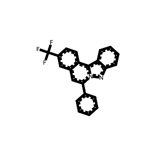 FC(F)(F)c1ccc2c(c1)cc(-c1ccccc1)n1nc3ccccc3c21